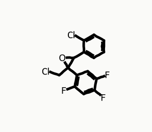 Fc1cc(F)c(C2(CCl)OC2c2ccccc2Cl)cc1F